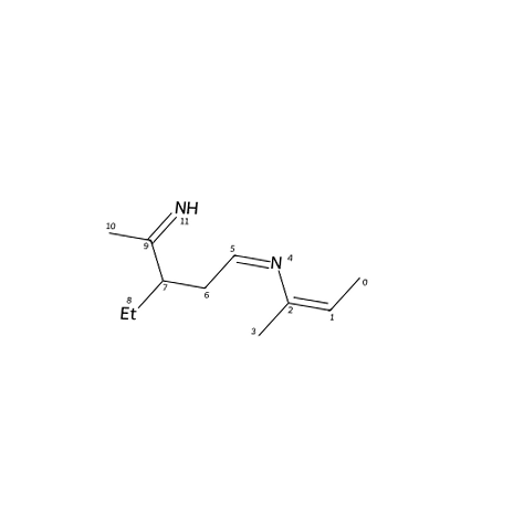 C/C=C(C)\N=C/CC(CC)C(C)=N